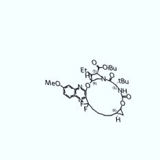 CC[C@@H]1[C@@H]2CN(C(=O)[C@H](C(C)(C)C)NC(=O)OC3C[C@H]3CCCCC(F)(F)c3nc4ccc(OC)cc4nc3O2)[C@@H]1C(=O)OCC(C)C